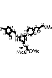 COC(CN(C)c1cc(NCc2ccc(Cl)cc2Cl)nc(N2CCN(CC(=O)CSC)CC2)n1)OC